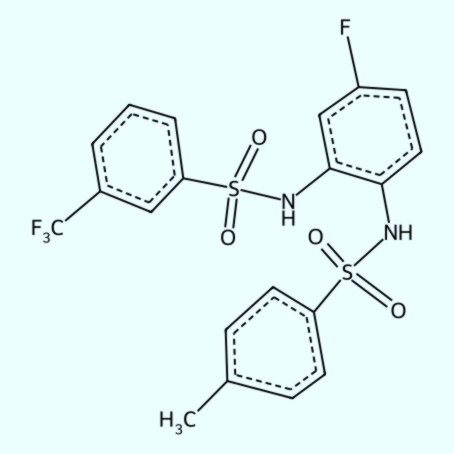 Cc1ccc(S(=O)(=O)Nc2ccc(F)cc2NS(=O)(=O)c2cccc(C(F)(F)F)c2)cc1